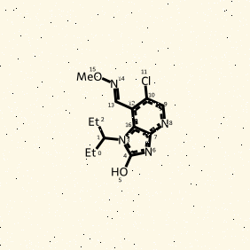 CCC(CC)n1c(O)nc2ncc(Cl)c(C=NOC)c21